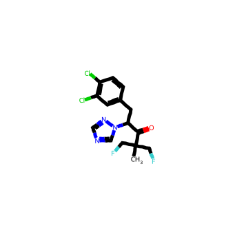 CC(CF)(CF)C(=O)C(Cc1ccc(Cl)c(Cl)c1)n1cncn1